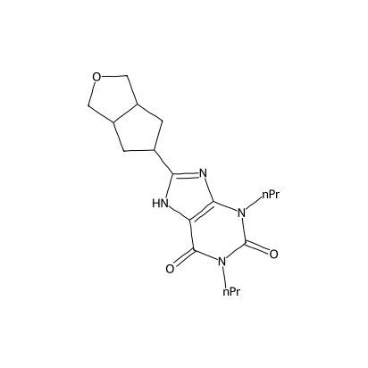 CCCn1c(=O)c2[nH]c(C3CC4COCC4C3)nc2n(CCC)c1=O